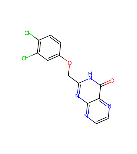 O=c1[nH]c(COc2ccc(Cl)c(Cl)c2)nc2nccnc12